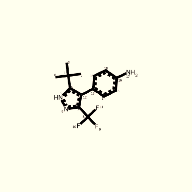 CC(C)(C)c1[nH]nc(C(F)(F)F)c1-c1ccc(N)cc1